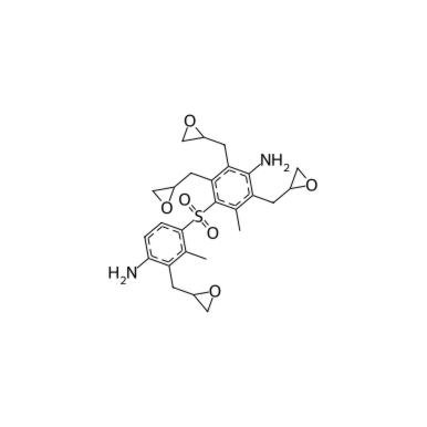 Cc1c(S(=O)(=O)c2c(C)c(CC3CO3)c(N)c(CC3CO3)c2CC2CO2)ccc(N)c1CC1CO1